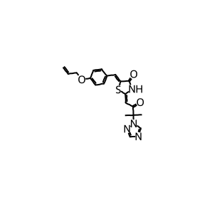 C=CCOc1ccc(/C=c2\s/c(=C/C(=O)C(C)(C)n3cncn3)[nH]c2=O)cc1